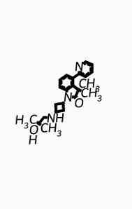 CC(C)(O)CNC1CC(N2C(=O)C(C)(C)c3c(-c4ccccn4)cccc32)C1